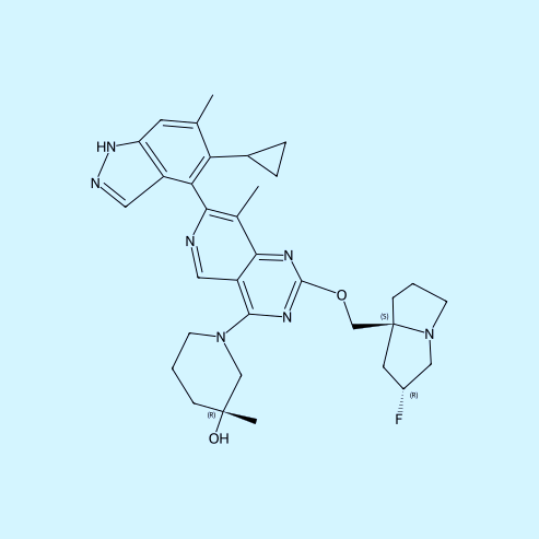 Cc1cc2[nH]ncc2c(-c2ncc3c(N4CCC[C@@](C)(O)C4)nc(OC[C@@]45CCCN4C[C@H](F)C5)nc3c2C)c1C1CC1